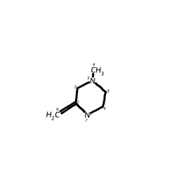 C=C1CN(C)CC[N]1